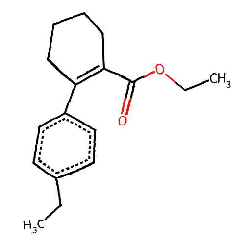 CCOC(=O)C1=C(c2ccc(CC)cc2)CCCC1